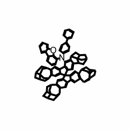 c1ccc(-c2ccc(N(c3c4c(cc5c3C3CC6CC(CC5C6)C3)C3(c5cc6c(cc5-c5cc7c(cc53)C3CC5CC8CC7CC85C3)C3CC5CC7(C3)CC6CC57)c3cc5c(cc3-4)C3CC4CC6CC5CC46C3)c3cccc4c3oc3ccccc34)cc2)cc1